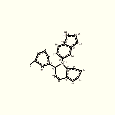 Cc1cccc(C2N=Cc3ccccc3N2c2ccc3[nH]ncc3c2)n1